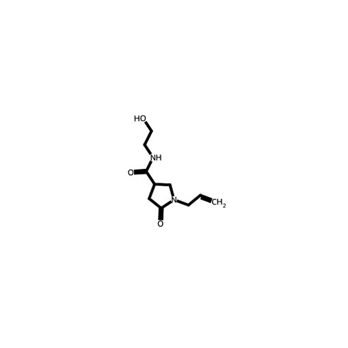 C=CCN1CC(C(=O)NCCO)CC1=O